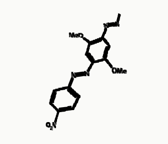 C/N=N/c1cc(OC)c(/N=N/c2ccc([N+](=O)[O-])cc2)cc1OC